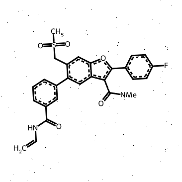 C=CNC(=O)c1cccc(-c2cc3c(C(=O)NC)c(-c4ccc(F)cc4)oc3cc2CS(C)(=O)=O)c1